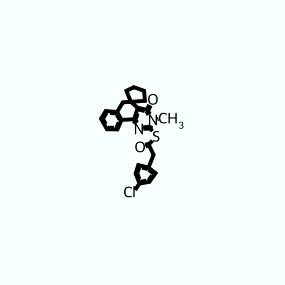 Cn1c(SC(=O)Cc2ccc(Cl)cc2)nc2c(c1=O)C1(CCCC1)Cc1ccccc1-2